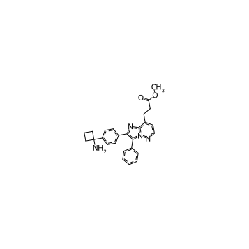 COC(=O)CCc1ccnn2c(-c3ccccc3)c(-c3ccc(C4(N)CCC4)cc3)nc12